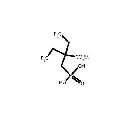 CCOC(=O)C(CC(F)(F)F)(CC(F)(F)F)CP(=O)(O)O